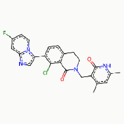 Cc1cc(C)c(CN2CCc3ccc(-c4cnc5cc(F)ccn45)c(Cl)c3C2=O)c(=O)[nH]1